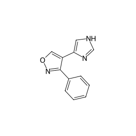 c1ccc(-c2nocc2-c2c[nH]cn2)cc1